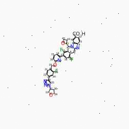 O=C(O)c1ccc2nc(Cc3cc(F)c(-c4cccc(OCc5ccc(-c6cn([C@H]7CCOC7)nn6)cc5F)n4)cc3F)n(C[C@@H]3CCO3)c2c1